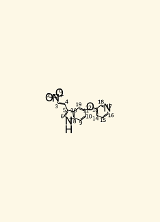 O=[N+]([O-])C=Cc1c[nH]c2ccc(Oc3cccnc3)cc12